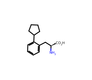 N[C@@H](Cc1ccccc1C1CCCC1)C(=O)O